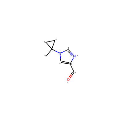 CC1(n2cnc(C=O)c2)CC1